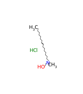 CCCCCCCCC=CCCCCCCCCN(C)CCO.Cl